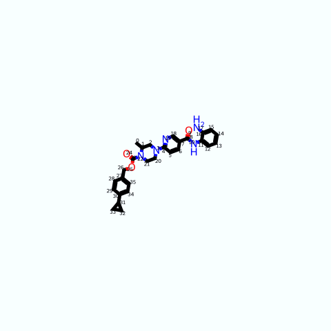 CC1CN(c2ccc(C(=O)Nc3ccccc3N)cn2)CCN1C(=O)OCc1ccc(C2CC2)cc1